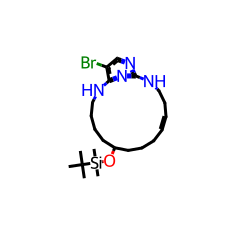 CC(C)(C)[Si](C)(C)OC1CCCC=CCCNc2ncc(Br)c(n2)NCCCC1